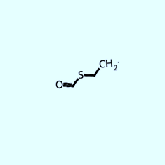 [CH2]CSC=O